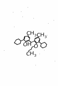 CCCCOc1c(Cc2cc(C)cc(C3CCCCC3)c2O)cc(C)cc1C1CCCCC1